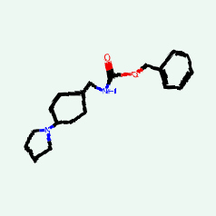 O=C(NCC1CCC(N2CCCC2)CC1)OCc1ccccc1